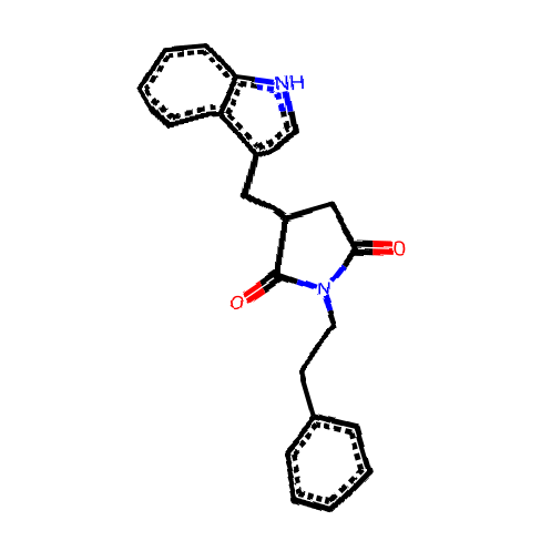 O=C1CC(Cc2c[nH]c3ccccc23)C(=O)N1CCc1ccccc1